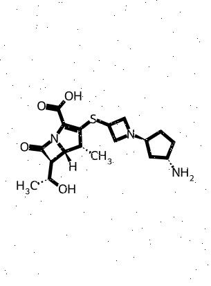 C[C@@H](O)[C@H]1C(=O)N2C(C(=O)O)=C(SC3CN([C@H]4CC[C@H](N)C4)C3)[C@H](C)[C@H]12